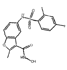 Cc1cc(F)ccc1S(=O)(=O)Nc1ccc2oc(C)c(C(=O)NO)c2c1